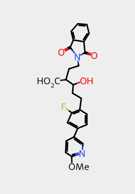 COc1ccc(-c2ccc(CCC(O)C(CCN3C(=O)c4ccccc4C3=O)C(=O)O)c(F)c2)cn1